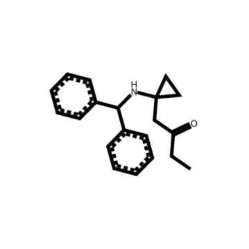 CCC(=O)CC1(NC(c2ccccc2)c2ccccc2)CC1